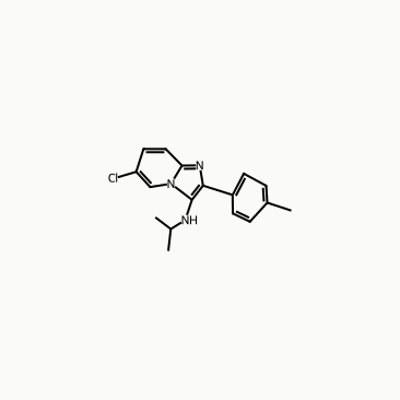 Cc1ccc(-c2nc3ccc(Cl)cn3c2NC(C)C)cc1